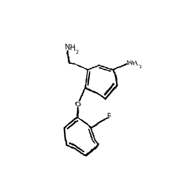 NCc1cc(N)ccc1Oc1ccccc1F